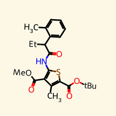 CCC(C(=O)Nc1sc(C(=O)OC(C)(C)C)c(C)c1C(=O)OC)c1ccccc1C